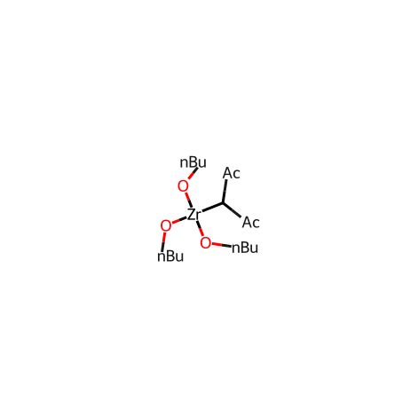 CCCC[O][Zr]([O]CCCC)([O]CCCC)[CH](C(C)=O)C(C)=O